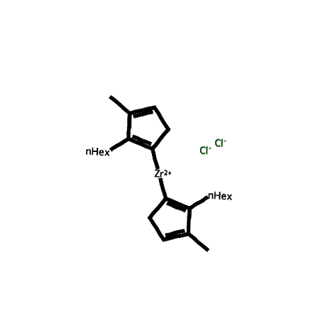 CCCCCCC1=[C]([Zr+2][C]2=C(CCCCCC)C(C)=CC2)CC=C1C.[Cl-].[Cl-]